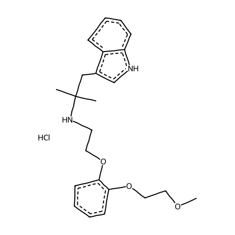 COCCOc1ccccc1OCCNC(C)(C)Cc1c[nH]c2ccccc12.Cl